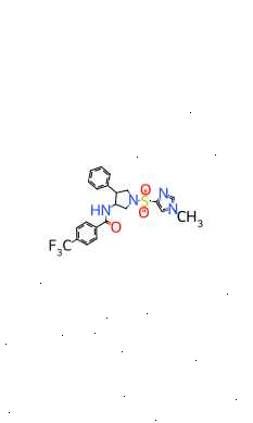 Cn1cnc(S(=O)(=O)N2CC(NC(=O)c3ccc(C(F)(F)F)cc3)C(c3ccccc3)C2)c1